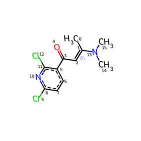 C/C(=C\C(=O)c1ccc(Cl)nc1Cl)N(C)C